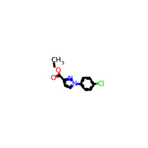 CCOC(=O)c1ccn(-c2ccc(Cl)cc2)n1